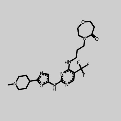 CN1CCC(c2ncc(Nc3ncc(C(F)(F)F)c(NCCCN4CCOCCC4=O)n3)o2)CC1